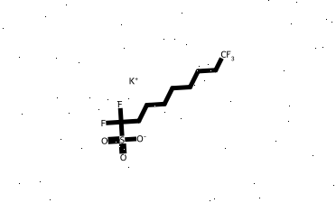 O=S(=O)([O-])C(F)(F)CCCCCCCC(F)(F)F.[K+]